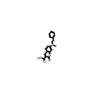 CN(CCc1ccccc1)c1ccc2cc(C(=O)O)c(=O)oc2c1